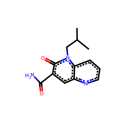 CC(C)Cn1c(=O)c(C(N)=O)cc2ncccc21